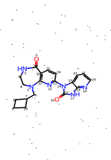 O=C1NCCN(CC2CCC2)c2nc(-n3c(=O)[nH]c4ncccc43)ccc21